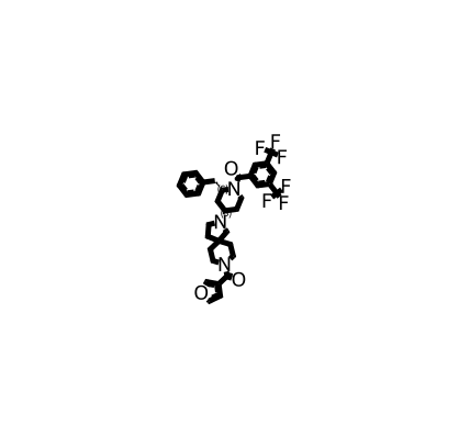 O=C(c1ccoc1)N1CCC2(CC1)CCN([C@H]1CCN(C(=O)c3cc(C(F)(F)F)cc(C(F)(F)F)c3)[C@@H](Cc3ccccc3)C1)C2